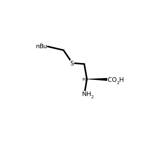 CCCCCSC[C@H](N)C(=O)O